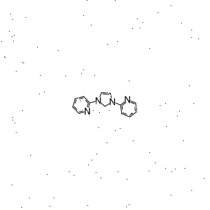 C1=CN(c2ccccn2)CN1c1ccccn1